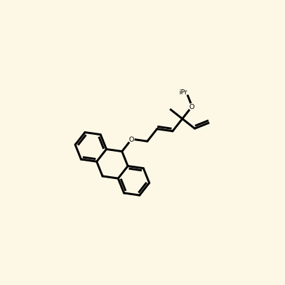 C=CC(C)(/C=C/COC1c2ccccc2Cc2ccccc21)OC(C)C